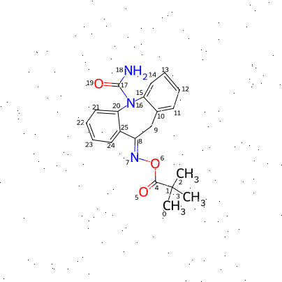 CC(C)(C)C(=O)O/N=C1\Cc2ccccc2N(C(N)=O)c2ccccc21